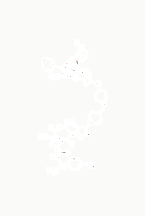 CC(C)[C@@H](C(=O)N1C[C@H](O)C[C@H]1C(=O)N[C@@H](C)c1ccc(C#N)cc1)c1cc(N2CCC(CN3CCC(OC4CC(Oc5cc(N6C7C[C@@H]6CN(c6cc(-c8ccccc8O)nnc6N)C7)ccn5)C4)CC3)CC2)no1